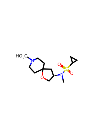 CN([C@H]1COC2(CCN(C(=O)O)CC2)C1)S(=O)(=O)C1CC1